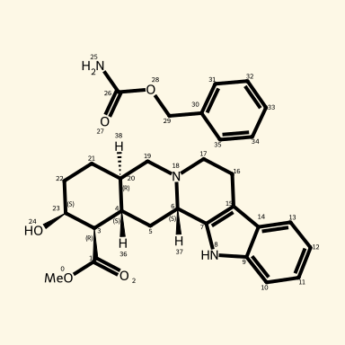 COC(=O)[C@@H]1[C@H]2C[C@H]3c4[nH]c5ccccc5c4CCN3C[C@@H]2CC[C@@H]1O.NC(=O)OCc1ccccc1